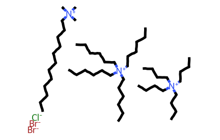 CCCCCCCCCCCC[N+](C)(C)C.CCCCCC[N+](CCCCCC)(CCCCCC)CCCCCC.CCCC[N+](CCCC)(CCCC)CCCC.[Br-].[Br-].[Cl-]